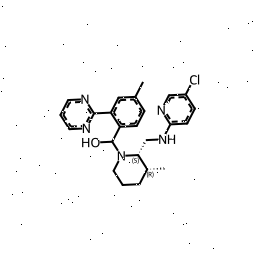 Cc1ccc(C(O)N2CCC[C@@H](C)[C@H]2CNc2ccc(Cl)cn2)c(-c2ncccn2)c1